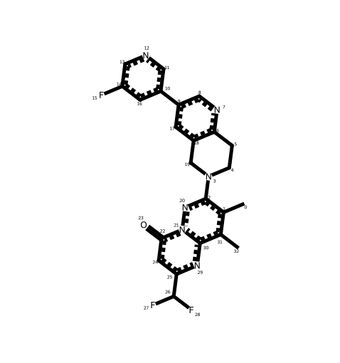 Cc1c(N2CCc3ncc(-c4cncc(F)c4)cc3C2)nn2c(=O)cc(C(F)F)nc2c1C